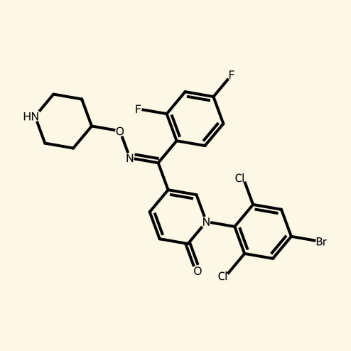 O=c1ccc(C(=NOC2CCNCC2)c2ccc(F)cc2F)cn1-c1c(Cl)cc(Br)cc1Cl